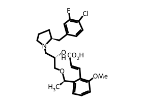 COc1cccc([C@@H](C)OC[C@@H](O)CN2CCC[C@H]2Cc2ccc(Cl)c(F)c2)c1/C=C/C(=O)O